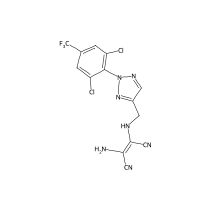 N#C/C(N)=C(\C#N)NCc1cnn(-c2c(Cl)cc(C(F)(F)F)cc2Cl)n1